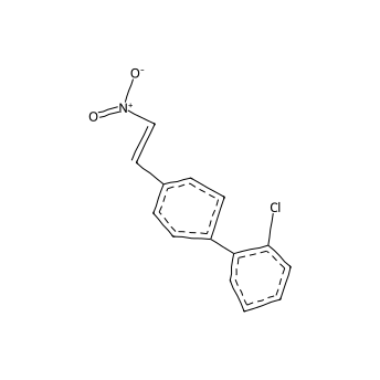 O=[N+]([O-])/C=C/c1ccc(-c2ccccc2Cl)cc1